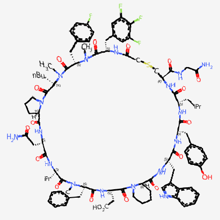 CCCC[C@H]1C(=O)N2CCC[C@@H]2C(=O)N[C@@H](CC(N)=O)C(=O)N[C@@H](C(C)C)C(=O)N(C)[C@@H](Cc2ccccc2)C(=O)N[C@@H](CC(=O)O)C(=O)N2CCCC[C@@H]2C(=O)N[C@@H](Cc2c[nH]c3ccccc23)C(=O)N[C@@H](Cc2ccc(O)cc2)C(=O)N[C@@H](CC(C)C)C(=O)N[C@H](C(=O)NCC(N)=O)CSCC(=O)N[C@@H](Cc2cc(F)c(F)c(F)c2)C(=O)N(C)[C@@H](Cc2ccc(F)cc2)C(=O)N1C